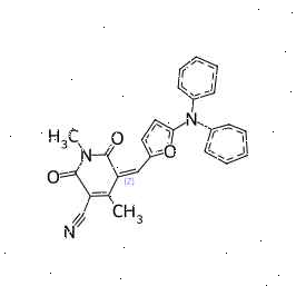 CC1=C(C#N)C(=O)N(C)C(=O)/C1=C\c1ccc(N(c2ccccc2)c2ccccc2)o1